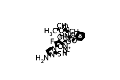 CC(C)OC(=O)[C@H](C)NP(=O)(OC[C@@]1(N=[N+]=[N-])O[C@@H](n2ccc(N)nc2=S)[C@@H](F)C1O)Oc1ccccc1